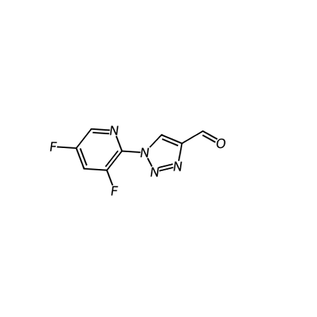 O=Cc1cn(-c2ncc(F)cc2F)nn1